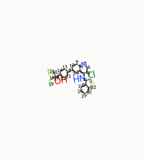 CC(Nc1c(Cl)cnc2ccc(-c3ccc(C(O)(CF)CF)cc3)cc12)c1ccccc1F